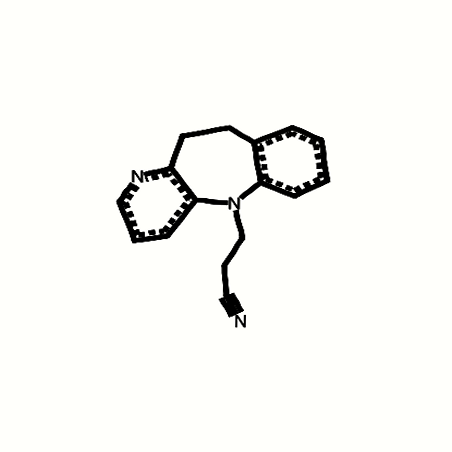 N#CCCN1c2ccccc2CCc2ncccc21